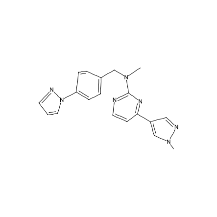 CN(Cc1ccc(-n2cccn2)cc1)c1nccc(-c2cnn(C)c2)n1